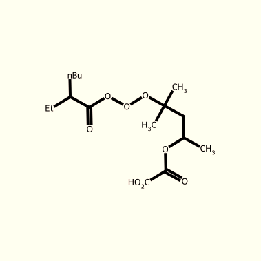 CCCCC(CC)C(=O)OOOC(C)(C)CC(C)OC(=O)C(=O)O